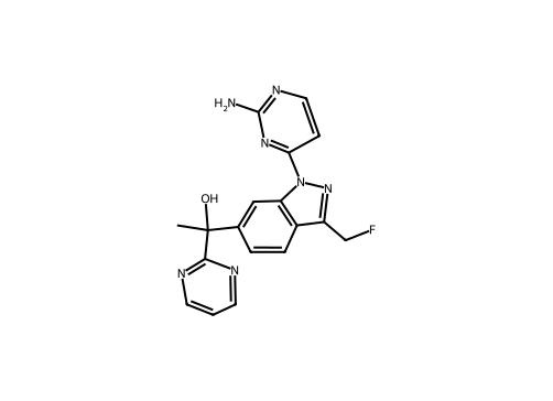 CC(O)(c1ccc2c(CF)nn(-c3ccnc(N)n3)c2c1)c1ncccn1